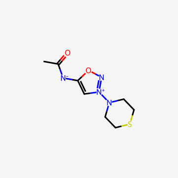 CC(=O)[N-]c1c[n+](N2CCSCC2)no1